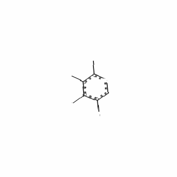 Cc1ncc(C(C)C)c(Cl)c1C